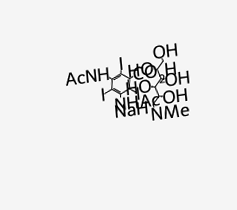 CC(=O)Nc1c(I)c(NC(C)=O)c(I)c(C(=O)O)c1I.CNC[C@H](O)[C@@H](O)[C@H](O)[C@H](O)CO.[NaH]